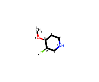 CO[C@H]1CCNC[C@H]1F